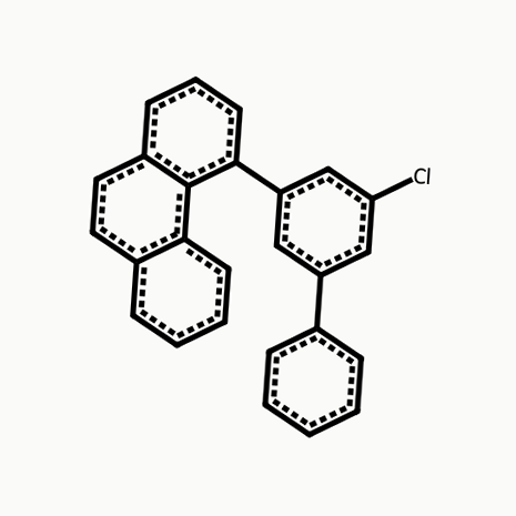 Clc1cc(-c2ccccc2)cc(-c2cccc3ccc4ccccc4c23)c1